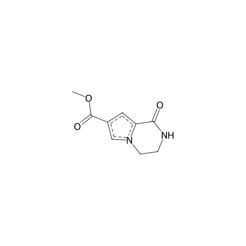 COC(=O)c1cc2n(c1)CCNC2=O